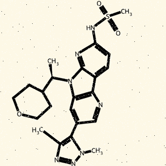 Cc1nnn(C)c1-c1cnc2c3ccc(NS(C)(=O)=O)nc3n([C@H](C)C3CCOCC3)c2c1